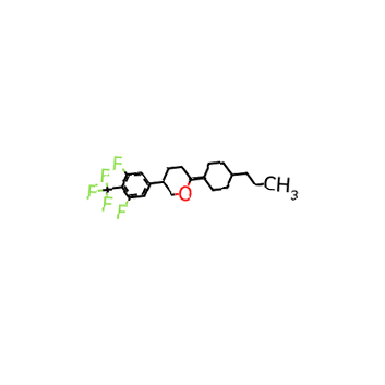 CCCC1CCC(C2CCC(c3cc(F)c(C(F)(F)F)c(F)c3)CO2)CC1